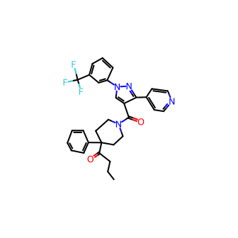 CCCC(=O)C1(c2ccccc2)CCN(C(=O)c2cn(-c3cccc(C(F)(F)F)c3)nc2-c2ccncc2)CC1